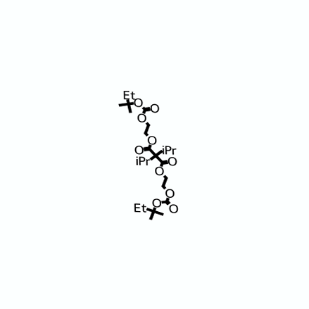 CCC(C)(C)OC(=O)OCCOC(=O)C(C(=O)OCCOC(=O)OC(C)(C)CC)(C(C)C)C(C)C